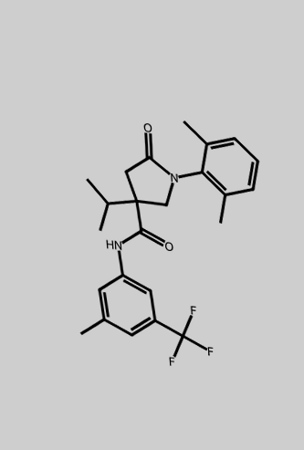 Cc1cc(NC(=O)C2(C(C)C)CC(=O)N(c3c(C)cccc3C)C2)cc(C(F)(F)F)c1